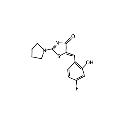 O=C1N=C(N2CCCC2)S/C1=C\c1ccc(F)cc1O